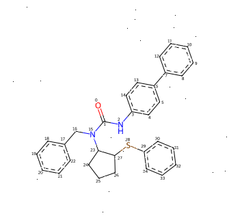 O=C(Nc1ccc(-c2ccccc2)cc1)N(Cc1ccccc1)C1CCCC1Sc1ccccc1